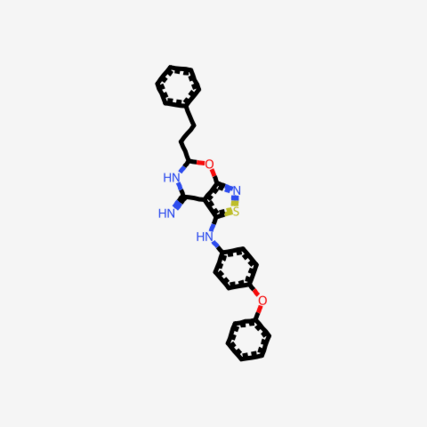 N=C1NC(CCc2ccccc2)Oc2nsc(Nc3ccc(Oc4ccccc4)cc3)c21